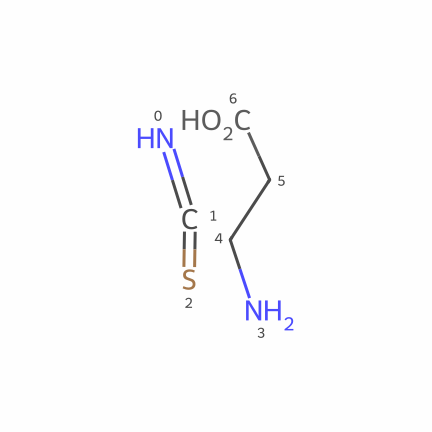 N=C=S.NCCC(=O)O